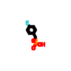 O=[PH](O)OCc1ccc(F)cc1